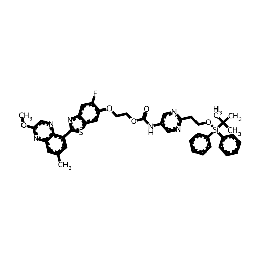 COc1cnc2c(-c3nc4cc(F)c(OCCOC(=O)Nc5cnc(CCO[Si](c6ccccc6)(c6ccccc6)C(C)(C)C)nc5)cc4s3)cc(C)cc2n1